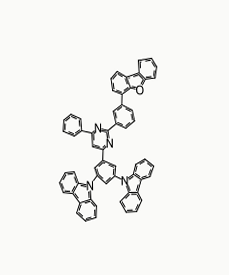 c1ccc(-c2cc(-c3cc(-n4c5ccccc5c5ccccc54)cc(-n4c5ccccc5c5ccccc54)c3)nc(-c3cccc(-c4cccc5c4oc4ccccc45)c3)n2)cc1